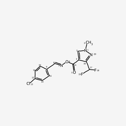 Cn1cc(C(=O)O/N=C/c2ccc(Cl)cc2)c(C(F)F)n1